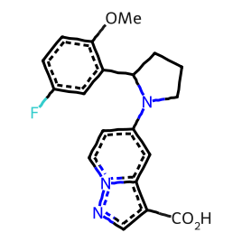 COc1ccc(F)cc1C1CCCN1c1ccn2ncc(C(=O)O)c2c1